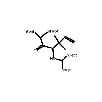 C=CC(C)(C)C(NC(CCCCCCC)CCCCCCC)C(=O)C(CCCCC)CCCCCCC